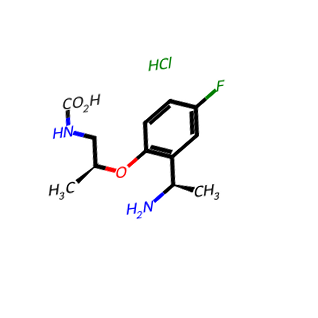 C[C@@H](CNC(=O)O)Oc1ccc(F)cc1[C@@H](C)N.Cl